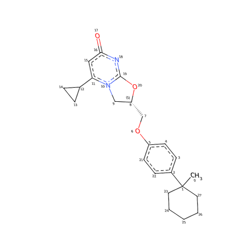 CC1(c2ccc(OC[C@@H]3Cn4c(C5CC5)cc(=O)nc4O3)cc2)CCCCC1